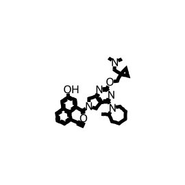 C#Cc1cccc2cc(O)cc(C(=O)N3Cc4nc(OCC5(CN(C)C)CC5)nc(N5CCCCCC5C)c4C3)c12